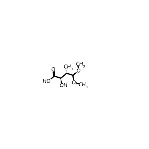 COC(OC)[C@@H](C)[C@@H](O)C(=O)O